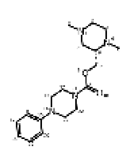 CN1CCN(C)[C@H](COC(=O)N2CCN(c3ccccc3)CC2)C1